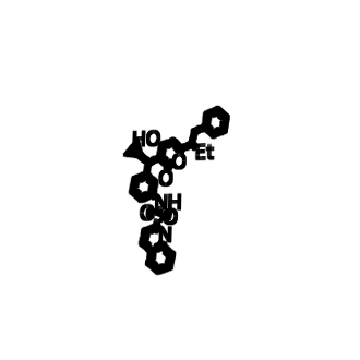 CCC(Cc1ccccc1)c1cc(O)c(C(c2cccc(NS(=O)(=O)c3ccc4ccccc4n3)c2)C2CC2)c(=O)o1